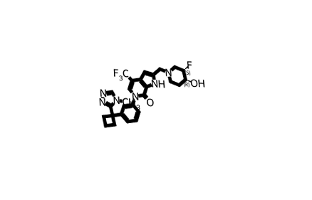 Cn1cnnc1C1(c2cccc(-n3cc(C(F)(F)F)c4cc(CN5CC[C@@H](O)[C@@H](F)C5)[nH]c4c3=O)c2)CCC1